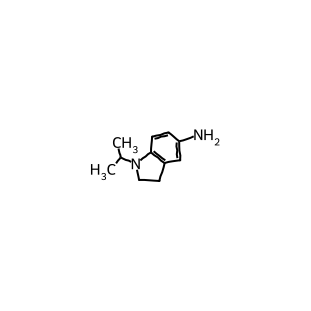 CC(C)N1CCc2cc(N)ccc21